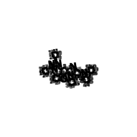 N#Cc1cc(-c2nc(-c3ccccc3)nc(-c3ccccc3)n2)c2c(oc3ccccc32)c1-n1c2ccccc2c2c3c4cccc5c6ccccc6n(c3ccc21)c54